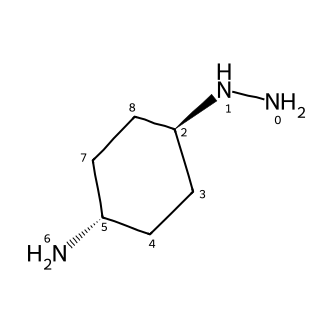 NN[C@H]1CC[C@H](N)CC1